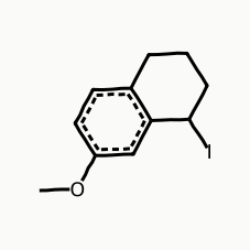 COc1ccc2c(c1)C(I)CCC2